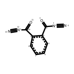 N#[N+]C(=O)c1ccccc1C(=O)[N+]#N